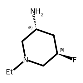 CCN1C[C@H](N)C[C@@H](F)C1